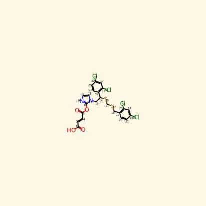 O=C(O)/C=C/C(=O)Oc1nccn1CC(SCSCc1ccc(Cl)cc1Cl)c1ccc(Cl)cc1Cl